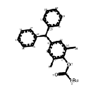 CCCCC(=O)Oc1c(C)cc(C(c2ccccc2)c2ccccc2)cc1C